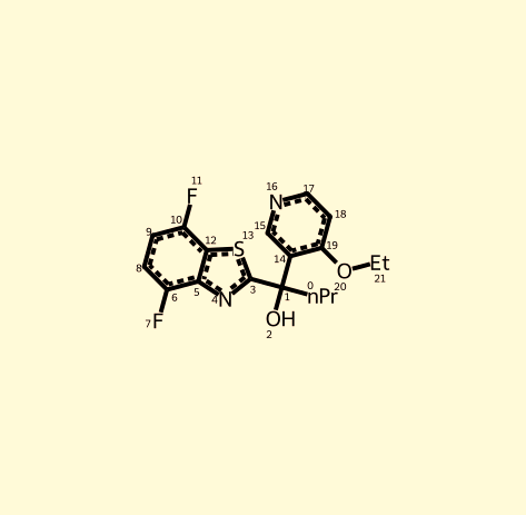 CCCC(O)(c1nc2c(F)ccc(F)c2s1)c1cnccc1OCC